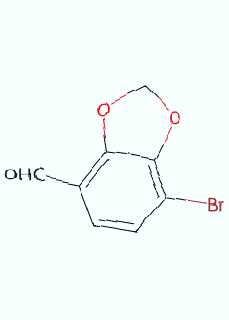 O=Cc1ccc(Br)c2c1OCO2